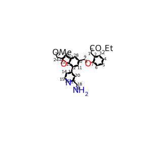 CCOC(=O)Cc1ccccc1OCc1cc(-c2ccnc(CN)c2)c2oc(COC)cc2c1